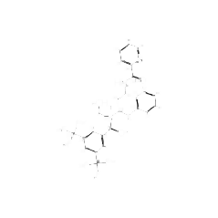 CCN(C(=O)c1cc(C(F)(F)F)cc(C(F)(F)F)c1)[C@H](CCNC(=O)c1ccccn1)Cc1ccccc1